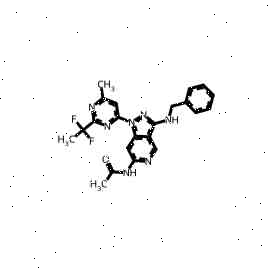 CC(=O)Nc1cc2c(cn1)c(NCc1ccccc1)nn2-c1cc(C)nc(C(C)(F)F)n1